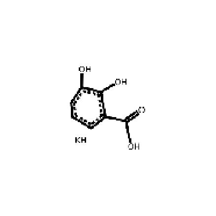 O=C(O)c1cccc(O)c1O.[KH]